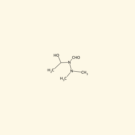 [CH2]C(O)N(C=O)N(C)C